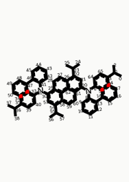 CC(C)c1ccc(N(c2ccccc2-c2ccccc2)c2cc(C(C)C)c3ccc4c(N(c5ccc(C(C)C)cc5)c5ccccc5-c5ccccc5)cc(C(C)C)c5ccc2c3c54)cc1